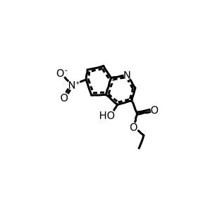 CCOC(=O)c1cnc2ccc([N+](=O)[O-])cc2c1O